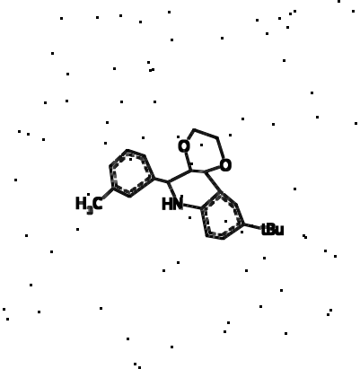 Cc1cccc(C2Nc3ccc(C(C)(C)C)cc3C3OCCOC23)c1